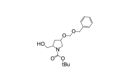 CC(C)(C)OC(=O)N1CC(OCOCc2ccccc2)CC1CO